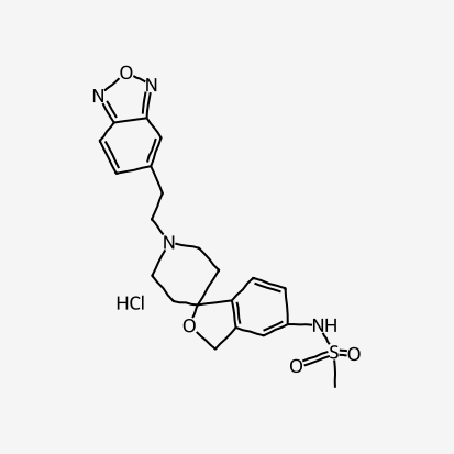 CS(=O)(=O)Nc1ccc2c(c1)COC21CCN(CCc2ccc3nonc3c2)CC1.Cl